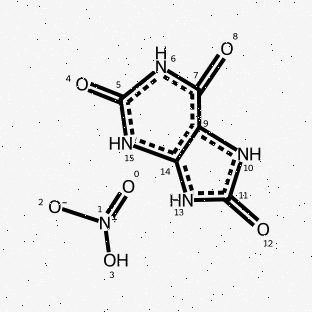 O=[N+]([O-])O.O=c1[nH]c(=O)c2[nH]c(=O)[nH]c2[nH]1